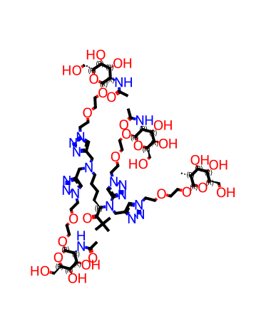 CC(=O)N[C@H]1[C@H](OCCOCCn2cc(CN(CCCC[C@H](C(=O)C(C)(C)C)N(Cc3cn(CCOCCO[C@@H]4O[C@H](CO)[C@H](O)[C@H](O)[C@H]4C)nn3)c3cn(CCOCCO[C@@H]4O[C@H](CO)[C@H](O)[C@H](O)[C@H]4NC(C)=O)nn3)Cc3cn(CCOCCO[C@@H]4O[C@H](CO)[C@H](O)[C@H](O)[C@H]4NC(C)=O)nn3)nn2)O[C@H](CO)[C@H](O)[C@@H]1O